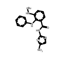 CCCCNc1cccc(C(=O)Nc2ncc([N+](=O)[O-])s2)c1Nc1ccccc1